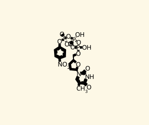 Cc1cn([C@H]2CC[C@@H](COP(=O)(O)OP(=O)(O)OP(=O)(O)Oc3ccc([N+](=O)[O-])cc3)O2)c(=O)[nH]c1=O